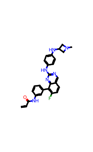 C=CC(=O)Nc1cccc(-c2c(F)ccc3cnc(Nc4ccc(NC5CN(C)C5)cc4)nc23)c1